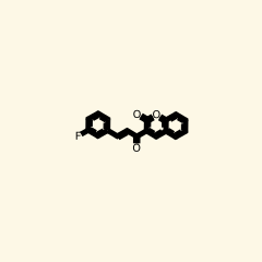 O=C(C=Cc1cccc(F)c1)c1cc2ccccc2oc1=O